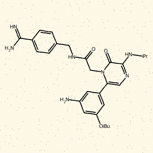 CC(C)COc1cc(N)cc(-c2cnc(NC(C)C)c(=O)n2CC(=O)NCc2ccc(C(=N)N)cc2)c1